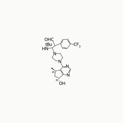 C[C@@H]1C[C@@H](O)c2ncnc(N3CCN(C(NC(C)(C)C)C(C=O)c4ccc(C(F)(F)F)cc4)CC3)c21